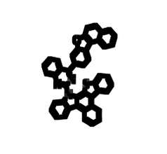 c1ccc2c(c1)ccc1oc3cc(-c4nc(-n5c6ccccc6c6c7ccccc7c7c8ccccc8sc7c65)nc5ccccc45)ccc3c12